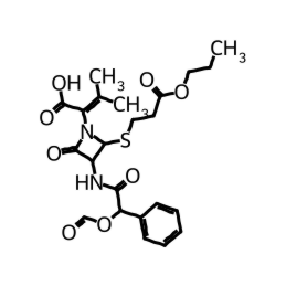 CCCOC(=O)CCSC1C(NC(=O)C(OC=O)c2ccccc2)C(=O)N1C(C(=O)O)=C(C)C